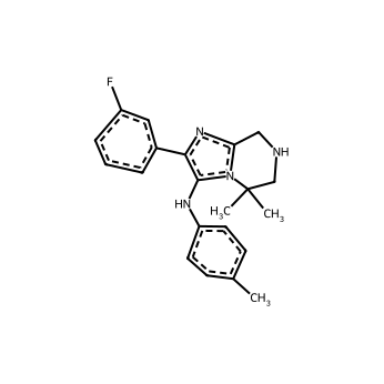 Cc1ccc(Nc2c(-c3cccc(F)c3)nc3n2C(C)(C)CNC3)cc1